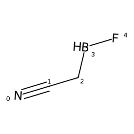 N#CCBF